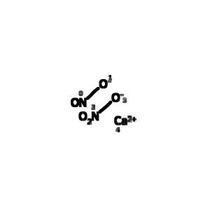 O=N[O-].O=[N+]([O-])[O-].[Ca+2]